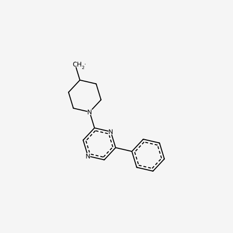 [CH2]C1CCN(c2cncc(-c3ccccc3)n2)CC1